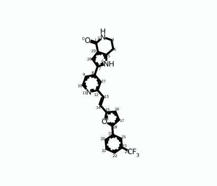 O=C1NCCc2[nH]c(-c3ccnc(C=Cc4ccc(-c5cccc(C(F)(F)F)c5)o4)c3)cc21